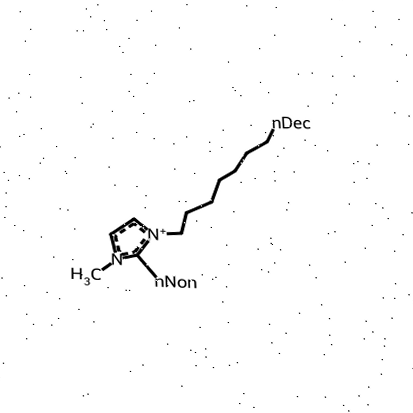 CCCCCCCCCCCCCCCCC[n+]1ccn(C)c1CCCCCCCCC